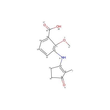 COc1c(NC2=C(C)C(=O)CC2)cccc1C(=O)O